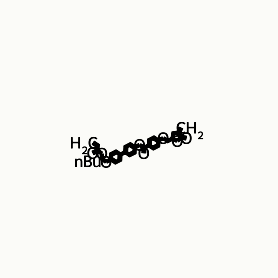 C=CC(=O)OC(CCCC)Oc1ccc(-c2ccc(OC(=O)c3ccc(OCC4CC(=C)C(=O)O4)cc3)cc2)cc1